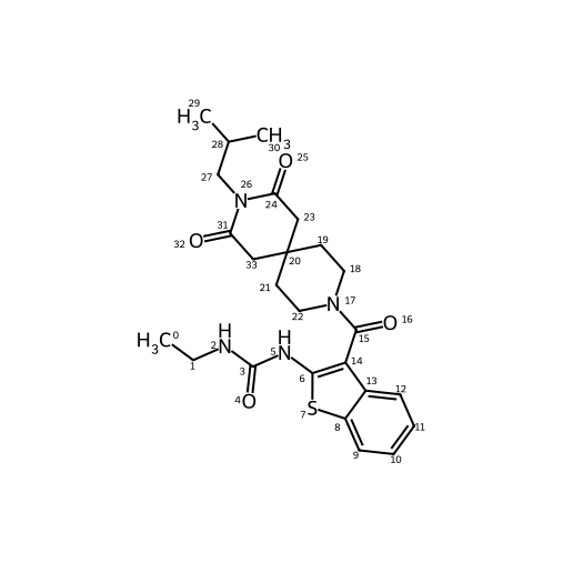 CCNC(=O)Nc1sc2ccccc2c1C(=O)N1CCC2(CC1)CC(=O)N(CC(C)C)C(=O)C2